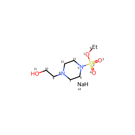 CCOS(=O)(=O)N1CCN(CCO)CC1.[NaH]